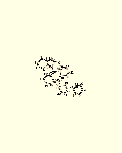 Cc1nc2ccccc2n1-c1c2ccccc2c(-c2cccc(-c3ccccn3)c2)c2ccccc12